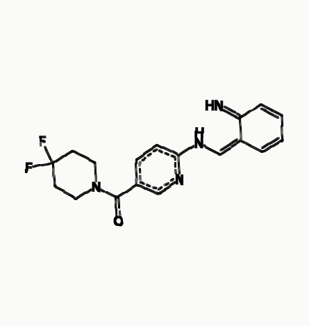 N=C1C=CC=C/C1=C/Nc1ccc(C(=O)N2CCC(F)(F)CC2)cn1